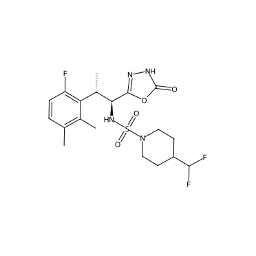 Cc1ccc(F)c([C@H](C)[C@H](NS(=O)(=O)N2CCC(C(F)F)CC2)c2n[nH]c(=O)o2)c1C